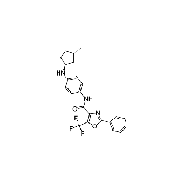 C[C@H]1CC[C@H](Nc2ccc(NC(=O)c3nc(-c4ccccc4)oc3C(F)(F)F)cn2)C1